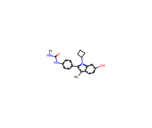 CC(C)NC(=O)Nc1ccc(-c2c(C#N)c3ccc(O)cc3n2C2CCC2)cc1